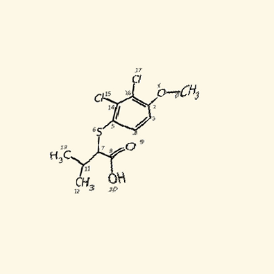 COc1ccc(SC(C(=O)O)C(C)C)c(Cl)c1Cl